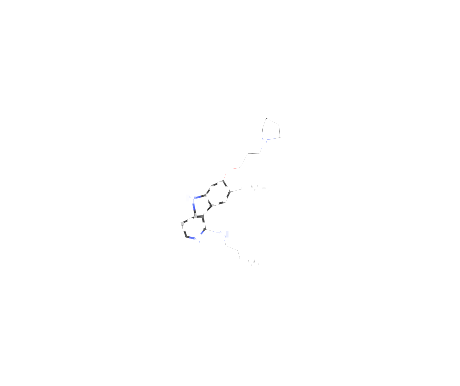 COCCNc1nccc2[nH]c3cc(OCCCN4CCCC4)c(OC)cc3c12